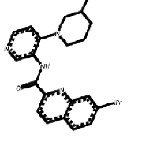 CC(C)c1ccc2ccc(C(=O)Nc3cnccc3N3CCCC(N)C3)nc2c1